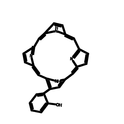 Oc1ccccc1-c1cc2cc3nc(cc4ccc(cc5nc(cc1[nH]2)C=C5)[nH]4)C=C3